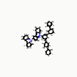 c1ccc(-c2ccc(-c3cc(-c4cccc(-c5ccccc5)c4)cc(-n4c5ccccc5c5cc(-n6c7ccccc7c7ccccc76)ccc54)c3)cc2)cc1